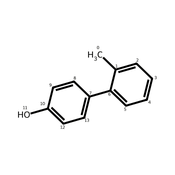 Cc1ccccc1-c1ccc(O)cc1